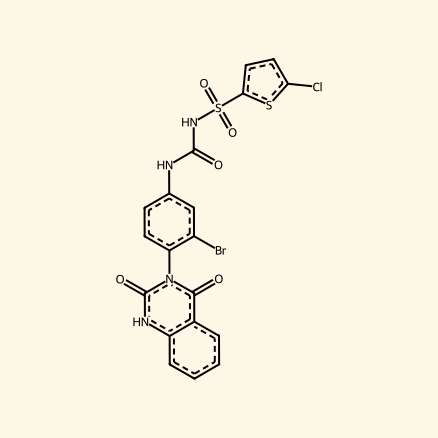 O=C(Nc1ccc(-n2c(=O)[nH]c3ccccc3c2=O)c(Br)c1)NS(=O)(=O)c1ccc(Cl)s1